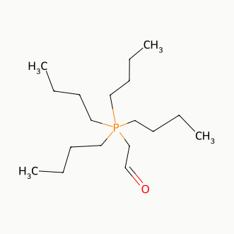 CCCCP(CC=O)(CCCC)(CCCC)CCCC